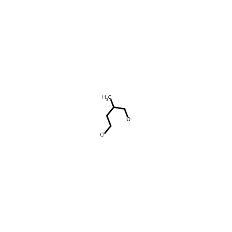 CC(C[O])CCCl